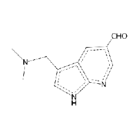 CN(C)Cc1c[nH]c2ncc(C=O)cc12